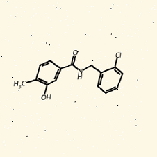 Cc1ccc(C(=O)NCc2ccccc2Cl)cc1O